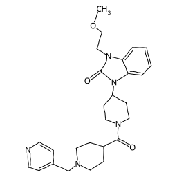 COCCn1c(=O)n(C2CCN(C(=O)C3CCN(Cc4ccncc4)CC3)CC2)c2ccccc21